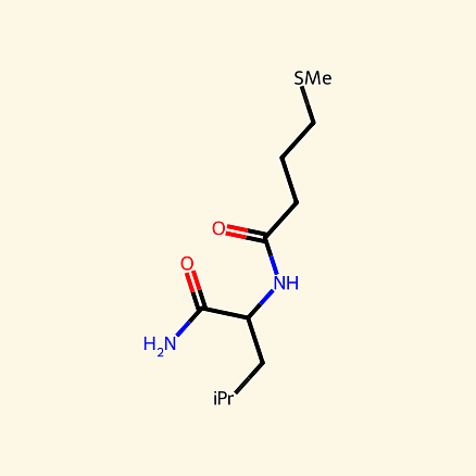 CSCCCC(=O)NC(CC(C)C)C(N)=O